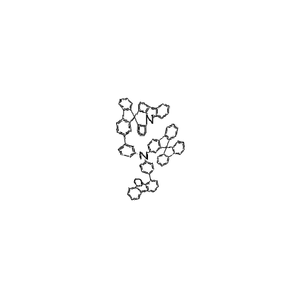 c1cc(-c2ccc3c(c2)C2(c4ccccc4-3)c3ccccc3-n3c4ccccc4c4cccc2c43)cc(N(c2ccc(-c3cccc4c3oc3ccccc34)cc2)c2ccc3c(c2)C2(c4ccccc4-c4ccccc42)c2ccccc2-3)c1